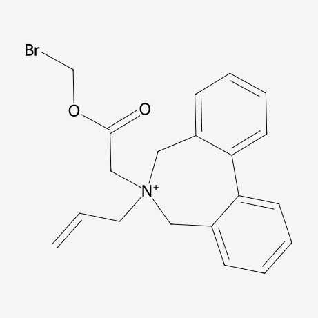 C=CC[N+]1(CC(=O)OCBr)Cc2ccccc2-c2ccccc2C1